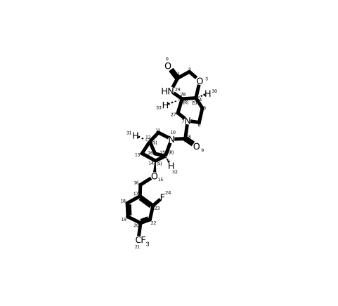 O=C1CO[C@H]2CCN(C(=O)N3C[C@@H]4C[C@H](OCc5ccc(C(F)(F)F)cc5F)[C@H]3C4)C[C@H]2N1